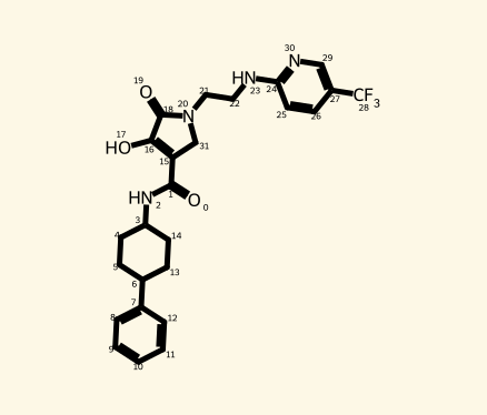 O=C(NC1CCC(c2ccccc2)CC1)C1=C(O)C(=O)N(CCNc2ccc(C(F)(F)F)cn2)C1